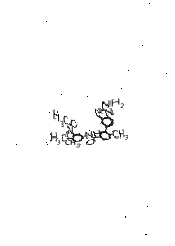 CC(=O)N1CC(C)(C)c2ccc(NC(=O)c3ccc(C)c(-c4ccc5nc(N)ncc5c4)c3)cc21